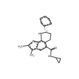 Cc1nc2c3c(c(C(=O)NC4CC4)cn2c1C)CC[C@@H](c1ccccc1)N3